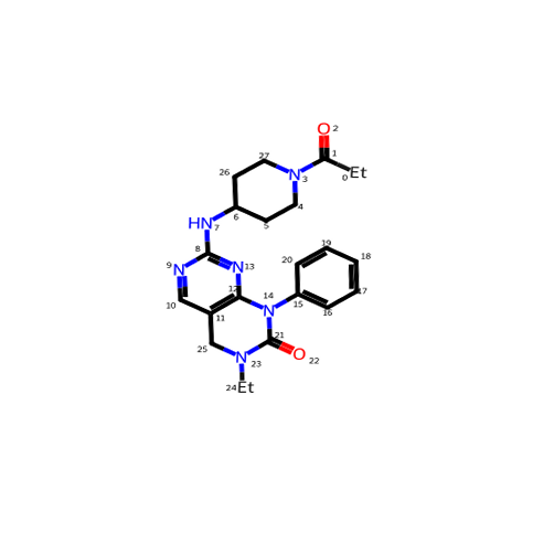 CCC(=O)N1CCC(Nc2ncc3c(n2)N(c2ccccc2)C(=O)N(CC)C3)CC1